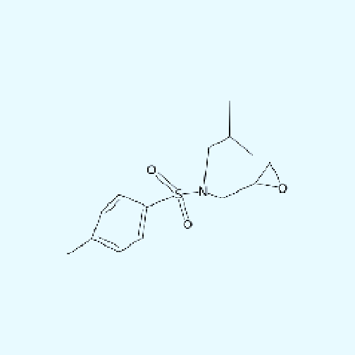 Cc1ccc(S(=O)(=O)N(CC(C)C)CC2CO2)cc1